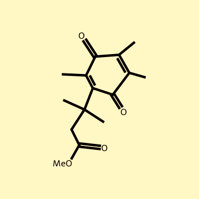 COC(=O)CC(C)(C)C1=C(C)C(=O)C(C)=C(C)C1=O